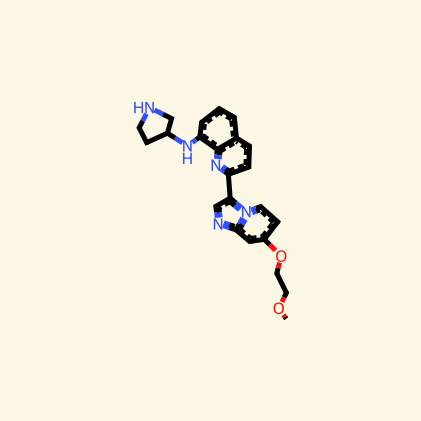 COCCOc1ccn2c(-c3ccc4cccc(NC5CCNC5)c4n3)cnc2c1